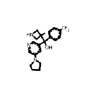 CC1(C(O)(c2ccc(C(F)(F)F)cc2)c2cncc(N3CCCC3)c2)CNC1